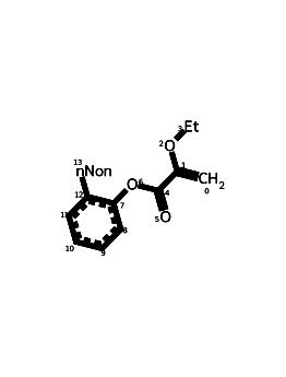 C=C(OCC)C(=O)Oc1ccccc1CCCCCCCCC